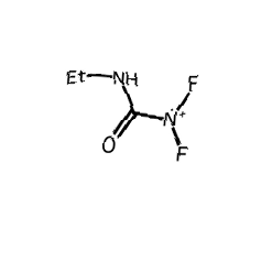 CCNC(=O)[N+](F)F